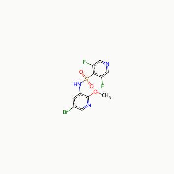 COc1ncc(Br)cc1NS(=O)(=O)c1c(F)cncc1F